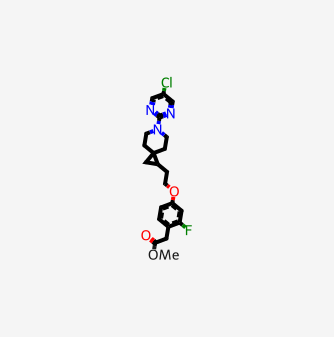 COC(=O)Cc1ccc(OCCC2CC23CCN(c2ncc(Cl)cn2)CC3)cc1F